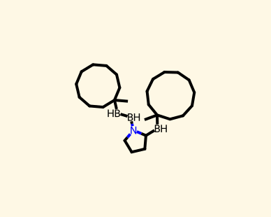 CC1(BC2CCCN2BBC2(C)CCCCCCCCC2)CCCCCCCCCC1